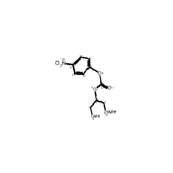 COCC(COC)OC(=O)Oc1ccc([N+](=O)[O-])cc1